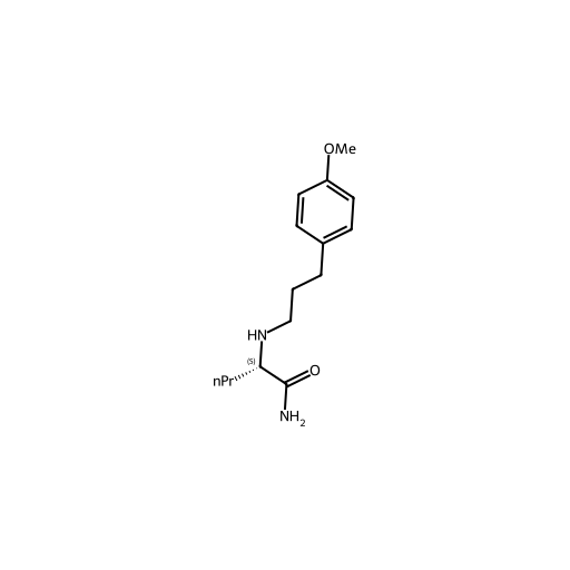 CCC[C@H](NCCCc1ccc(OC)cc1)C(N)=O